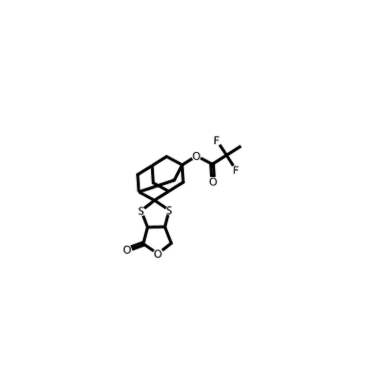 CC(F)(F)C(=O)OC12CC3CC(C1)C1(SC4COC(=O)C4S1)C(C3)C2